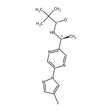 C[C@H](N[S+]([O-])C(C)(C)C)c1cnc(-n2cc(F)cn2)cn1